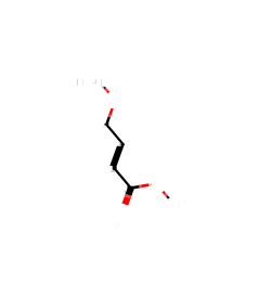 CCCCOCC=CC(=O)OCCCC